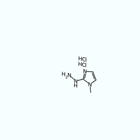 Cl.Cl.Cn1ccnc1NN